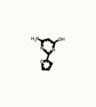 Nc1cc(O)nc(-c2ccco2)n1